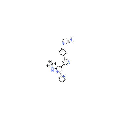 [2H]C([2H])([2H])Nc1cc(-c2cncc(-c3ccc(CN4CC[C@H](N(C)C)C4)cc3)c2)cc(-c2ccccn2)n1